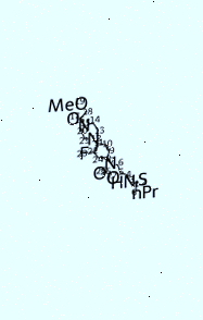 CCCC(=S)NCC1CN(c2ccc(N3CCN(C(=O)COC)CC3)c(F)c2)C(=O)O1